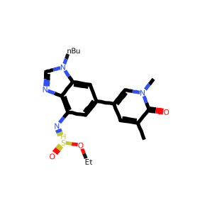 CCCCn1cnc2c(N=[SH](=O)OCC)cc(-c3cc(C)c(=O)n(C)c3)cc21